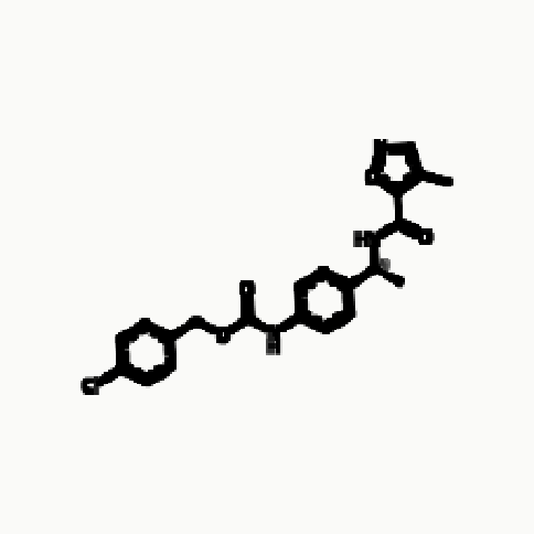 Cc1cnoc1C(=O)N[C@@H](C)c1ccc(NC(=O)OCc2ccc(Cl)cc2)cc1